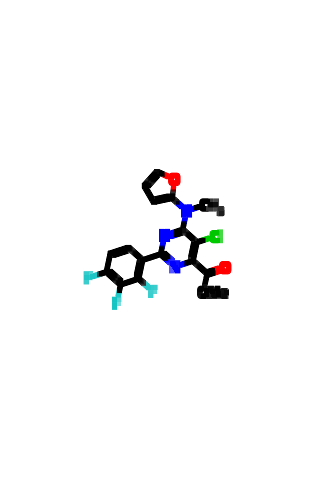 COC(=O)c1nc(-c2ccc(F)c(F)c2F)nc(N(C)c2ccco2)c1Cl